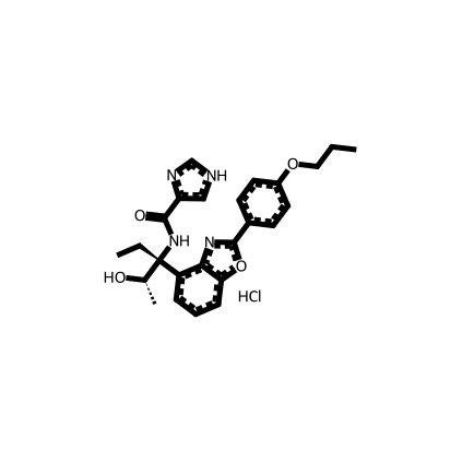 CCCOc1ccc(-c2nc3c([C@@](CC)(NC(=O)c4c[nH]cn4)[C@H](C)O)cccc3o2)cc1.Cl